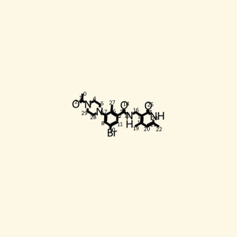 CC(=O)N1CCN(c2cc(Br)cc(C(=O)NCc3c(C)cc(C)[nH]c3=O)c2C)CC1